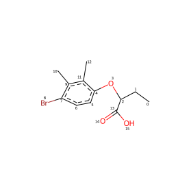 CCC(Oc1ccc(Br)c(C)c1C)C(=O)O